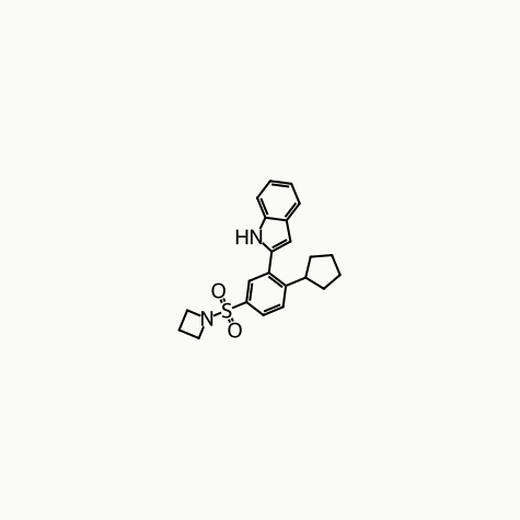 O=S(=O)(c1ccc(C2CCCC2)c(-c2cc3ccccc3[nH]2)c1)N1CCC1